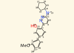 COc1cc(-c2ccc(-c3ccc(N(C)C4CCCCC4)nn3)c(O)c2)ccc1C